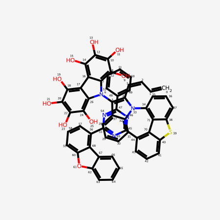 C=C/C=C\c1c(-n2c3c(O)c(O)c(O)c(O)c3c3c(O)c(O)c(O)c(O)c32)c2ccccc2n1-c1cccc2sc3cccc(-c4nc(-c5ccccc5)nc(-c5cccc6oc7ccccc7c56)n4)c3c12